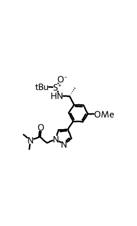 COc1cc(-c2cnn(CC(=O)N(C)C)c2)cc([C@@H](C)N[S+]([O-])C(C)(C)C)c1